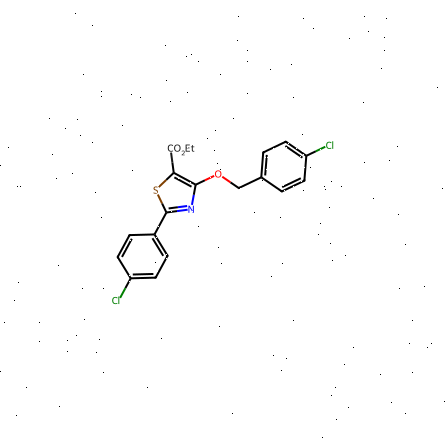 CCOC(=O)c1sc(-c2ccc(Cl)cc2)nc1OCc1ccc(Cl)cc1